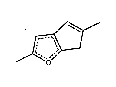 CC1=Cc2cc(C)oc2C1